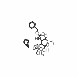 CC(=O)C(NC(=O)OCc1ccccc1)C(NS(C)(=O)=O)C(=O)O.c1cc2cc-2c1